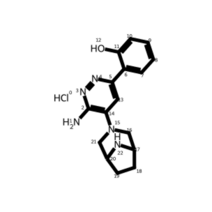 Cl.Nc1nnc(-c2ccccc2O)cc1N1CC2CCC(C1)N2